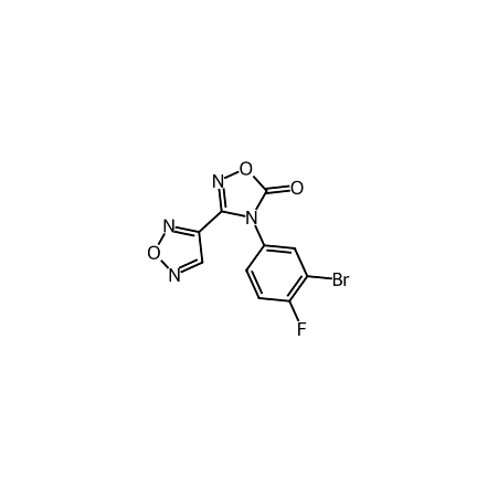 O=c1onc(-c2cnon2)n1-c1ccc(F)c(Br)c1